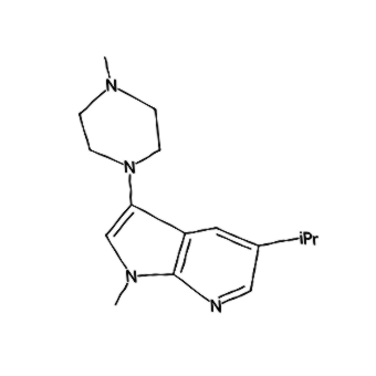 CC(C)c1cnc2c(c1)c(N1CCN(C)CC1)cn2C